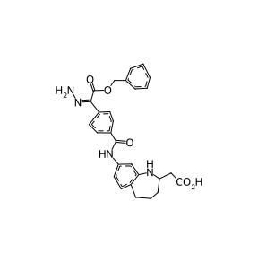 NN=C(C(=O)OCc1ccccc1)c1ccc(C(=O)Nc2ccc3c(c2)NC(CC(=O)O)CCC3)cc1